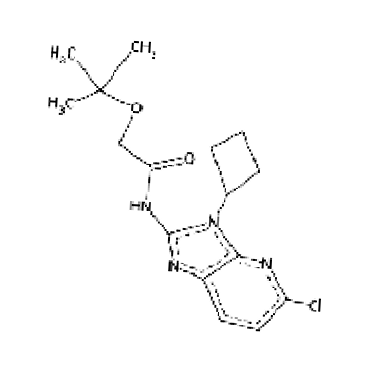 CC(C)(C)OCC(=O)Nc1nc2ccc(Cl)nc2n1C1CCC1